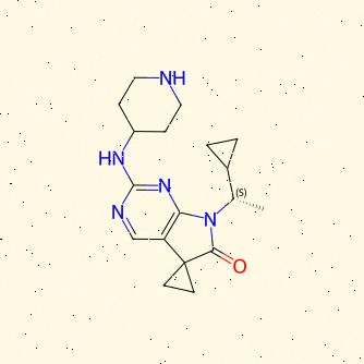 C[C@@H](C1CC1)N1C(=O)C2(CC2)c2cnc(NC3CCNCC3)nc21